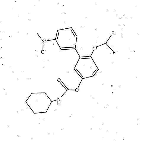 C[S+]([O-])c1cccc(-c2cc(OC(=O)NC3CCCCC3)ccc2OC(F)F)c1